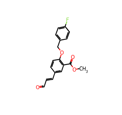 COC(=O)c1cc(C=CC=O)ccc1OCc1ccc(F)cc1